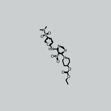 CCOC(=O)OC1CCN(c2ncnc(Nc3ccc(S(=O)(=O)N(C)C)cc3)c2[N+](=O)[O-])CC1